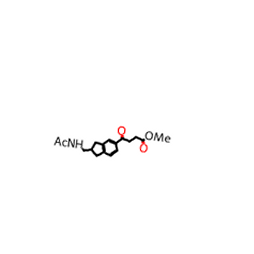 COC(=O)CCC(=O)c1ccc2c(c1)CC(CNC(C)=O)C2